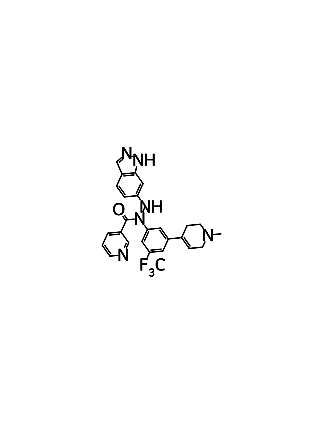 CN1CC=C(c2cc(N(Nc3ccc4cn[nH]c4c3)C(=O)c3cccnc3)cc(C(F)(F)F)c2)CC1